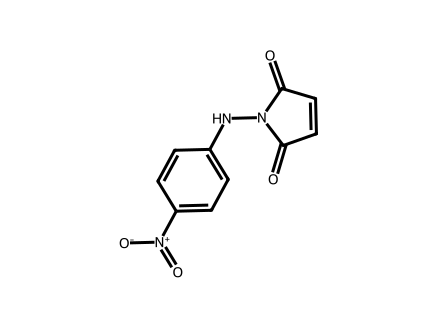 O=C1C=CC(=O)N1Nc1ccc([N+](=O)[O-])cc1